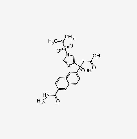 CNC(=O)c1ccc2cc([C@@](O)(CC(=O)O)c3cn(S(=O)(=O)N(C)C)cn3)ccc2c1